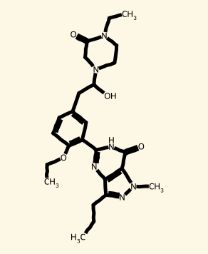 CCCc1nn(C)c2c(=O)[nH]c(-c3cc(CC(O)N4CCN(CC)C(=O)C4)ccc3OCC)nc12